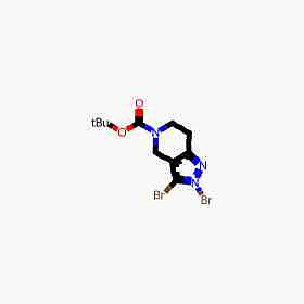 CC(C)(C)OC(=O)N1CCc2nn(Br)c(Br)c2C1